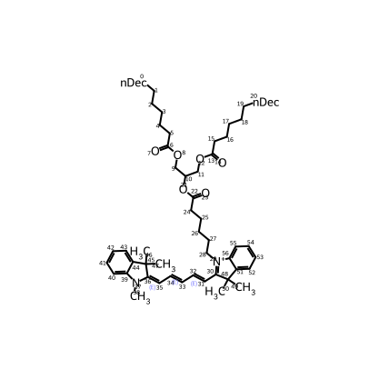 CCCCCCCCCCCCCCCC(=O)OCC(COC(=O)CCCCCCCCCCCCCCC)OC(=O)CCCCC[N+]1=C(/C=C/C=C/C=C2/N(C)c3ccccc3C2(C)C)C(C)(C)c2ccccc21